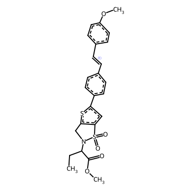 CCC(C(=O)OC)N1Cc2sc(-c3ccc(/C=C/c4ccc(OC)cc4)cc3)cc2S1(=O)=O